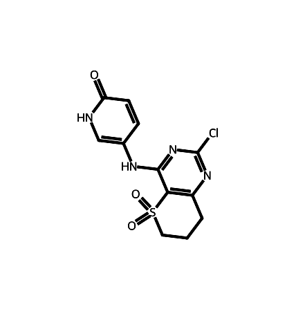 O=c1ccc(Nc2nc(Cl)nc3c2S(=O)(=O)CCC3)c[nH]1